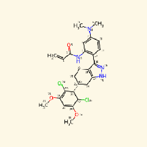 C=CC(=O)Nc1cc(N(C)C)ccc1-c1n[nH]c2c1CC[C@@H](C1C(Cl)=C(OC)C=C(OC)C1Cl)C2